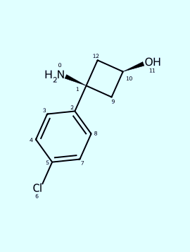 N[C@]1(c2ccc(Cl)cc2)C[C@H](O)C1